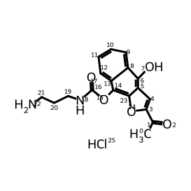 CC(=O)c1cc2c(O)c3ccccc3c(OC(=O)NCCCN)c2o1.Cl